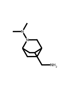 CN(C)N1CC2CCC1CC2CN